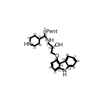 CCCCCC(NC[C@H](O)COc1cccc2[nH]c3ccccc3c12)C1CCNCC1